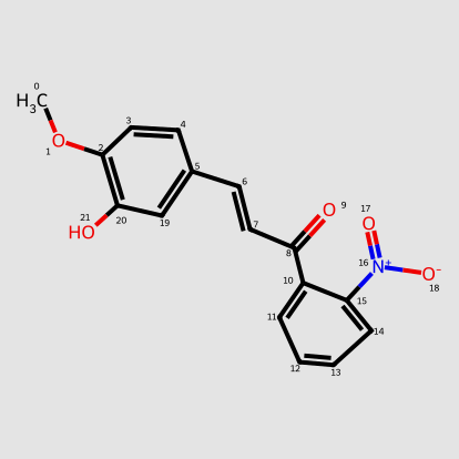 COc1ccc(/C=C/C(=O)c2ccccc2[N+](=O)[O-])cc1O